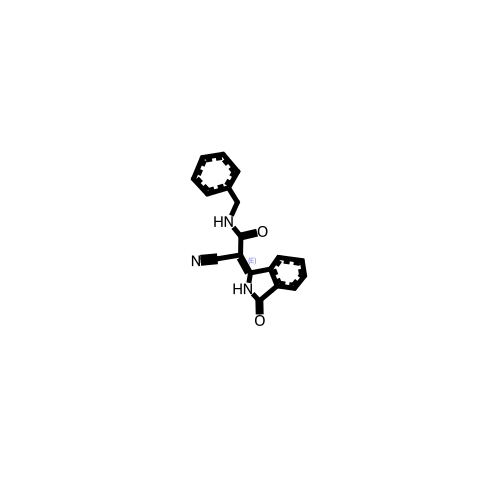 N#C/C(C(=O)NCc1ccccc1)=C1\NC(=O)c2ccccc21